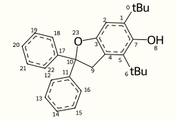 CC(C)(C)c1cc2c(c(C(C)(C)C)c1O)CC(c1ccccc1)(c1ccccc1)O2